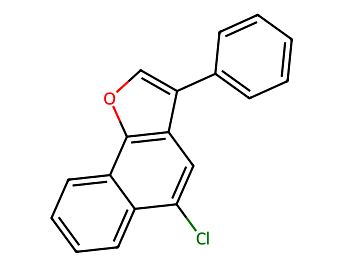 Clc1cc2c(-c3ccccc3)coc2c2ccccc12